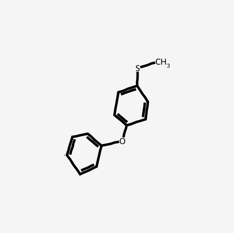 CSc1ccc(Oc2cc[c]cc2)cc1